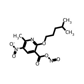 Cc1nc(OCCCC(C)C)c(C(=O)ON=O)cc1[N+](=O)[O-]